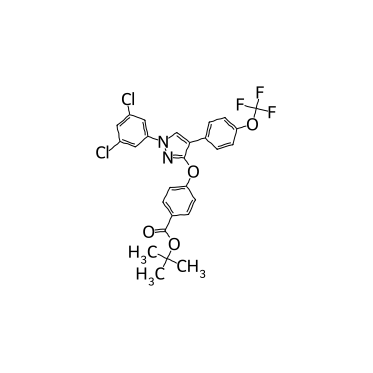 CC(C)(C)OC(=O)c1ccc(Oc2nn(-c3cc(Cl)cc(Cl)c3)cc2-c2ccc(OC(F)(F)F)cc2)cc1